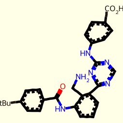 CC(C)(C)c1ccc(C(=O)Nc2cccc(-c3ncnc(Nc4ccc(C(=O)O)cc4)n3)c2CN)cc1